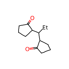 CCC(C1CCCC1=O)C1CCCC1=O